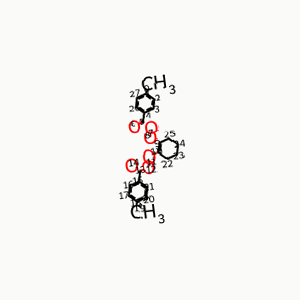 Cc1ccc(C(=O)OOC2=C(OOC(=O)c3ccc(C)cc3)CCCC2)cc1